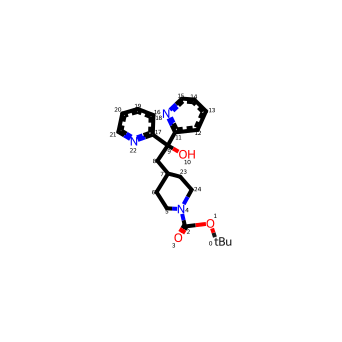 CC(C)(C)OC(=O)N1CCC(CC(O)(c2ccccn2)c2ccccn2)CC1